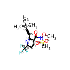 CON(C(=O)c1ccc(C(F)(F)F)nc1C#C[Si](C)(C)C)S(C)(=O)=O